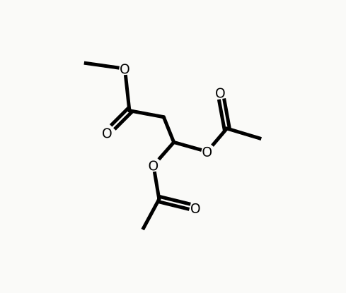 COC(=O)CC(OC(C)=O)OC(C)=O